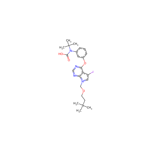 CC(C)(C)N(C(=O)O)c1cccc(Oc2ncnc3c2c(I)cn3COCC[Si](C)(C)C)c1